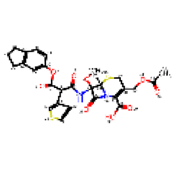 CO[C@@]1(NC(=O)C(C(=O)Oc2ccc3c(c2)CCC3)c2ccsc2)C(=O)N2C(C(=O)O)=C(COC(C)=O)CS[C@H]21